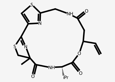 C=CC1CC(=O)NCc2nc(cs2)C2=NC(C)(CS2)C(=O)N[C@@H](C(C)C)C(=O)O1